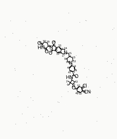 CC1(C)[C@@H](NC(=O)c2ccc(N3CCC(CN4Cc5cc6c(cc5C4)C(=O)N(C4CCC(=O)NC4=O)C6=O)CC3)cc2)C[C@@H]1Oc1ccc(C#N)c(Cl)c1